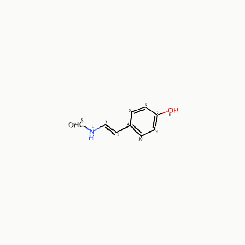 O=CN/C=C/c1ccc(O)cc1